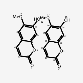 COc1cc2ccc(=O)oc2cc1O.COc1cc2ccc(=O)oc2cc1O